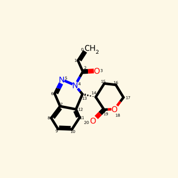 C=CC(=O)N1N=Cc2ccccc2C1[C@@H]1CCCOC1=O